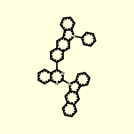 c1ccc(-n2c3ccccc3c3cc4ccc(-c5nc(-n6c7ccccc7c7cc8ccccc8cc76)nc6ccccc56)cc4cc32)cc1